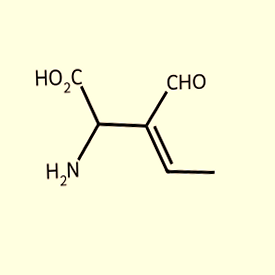 C/C=C(\C=O)C(N)C(=O)O